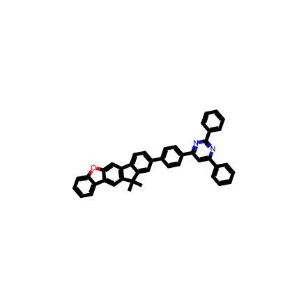 CC1(C)c2cc(-c3ccc(-c4cc(-c5ccccc5)nc(-c5ccccc5)n4)cc3)ccc2-c2cc3oc4ccccc4c3cc21